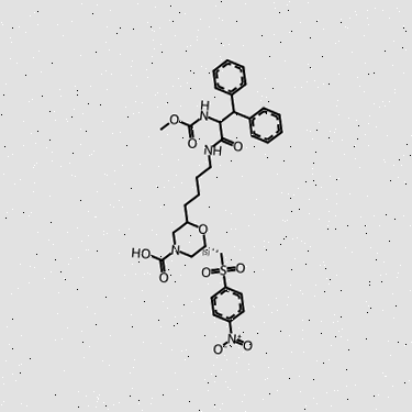 COC(=O)NC(C(=O)NCCCCC1CN(C(=O)O)C[C@@H](CS(=O)(=O)c2ccc([N+](=O)[O-])cc2)O1)C(c1ccccc1)c1ccccc1